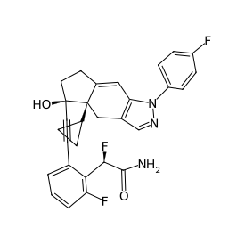 NC(=O)[C@H](F)c1c(F)cccc1C#C[C@]1(O)CCC2=Cc3c(cnn3-c3ccc(F)cc3)C[C@@]21C1CC1